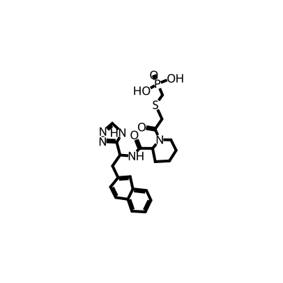 O=C(NC(Cc1ccc2ccccc2c1)c1nnc[nH]1)C1CCCCN1C(=O)CSCP(=O)(O)O